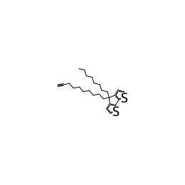 C#CCCCCCCCCC1(CCCCCCCC)c2ccsc2-c2sccc21